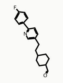 O=CC1CCC(CCc2ccc(-c3ccc(F)cc3)nc2)CC1